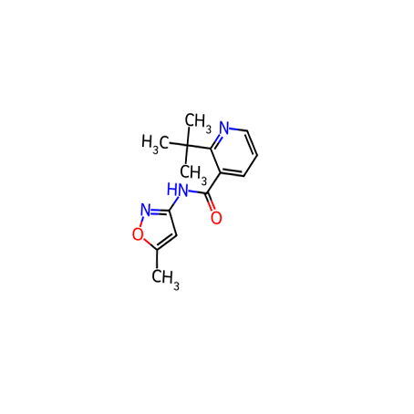 Cc1cc(NC(=O)c2cccnc2C(C)(C)C)no1